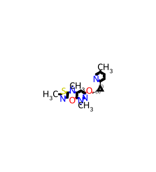 Cc1ccc([C@H]2C[C@@H]2COc2cc(N(C)c3cnc(C)s3)c(=O)n(C)n2)nc1